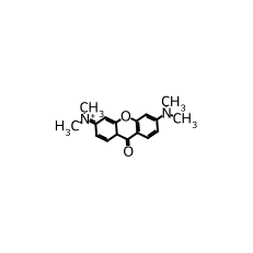 CN(C)c1ccc2c(c1)OC1=CC(=[N+](C)C)C=CC1C2=O